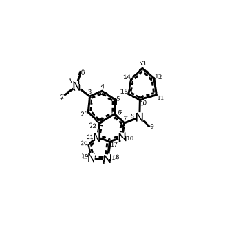 CN(C)c1ccc2c(N(C)c3ccccc3)nc3nncn3c2c1